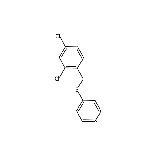 Clc1ccc(CSc2cc[c]cc2)c(Cl)c1